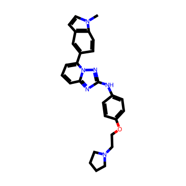 Cn1ccc2cc(-c3cccc4nc(Nc5ccc(OCCN6CCCC6)cc5)nn34)ccc21